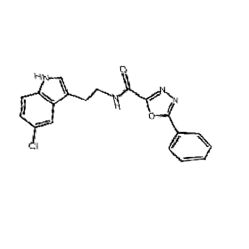 O=C(NCCc1c[nH]c2ccc(Cl)cc12)c1nnc(-c2ccccc2)o1